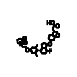 Cc1cc(OCCN2CCCS2(=O)=O)cc(C)c1-c1ccc(F)c2c1CC[C@H]2Oc1ccc2c(c1)OCC2CC(=O)O